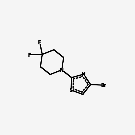 FC1(F)CCN(c2nc(Br)cs2)CC1